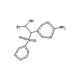 CCC(O)C(c1ccc([N+](=O)[O-])cc1)S(=O)(=O)c1ccccc1